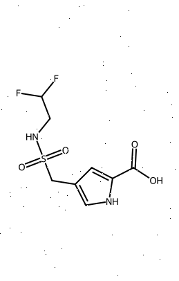 O=C(O)c1cc(CS(=O)(=O)NCC(F)F)c[nH]1